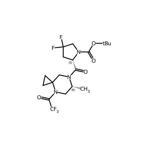 C[C@@H]1CN(C(=O)C(F)(F)F)C2(CC2)CN1C(=O)[C@@H]1CC(F)(F)CN1C(=O)OC(C)(C)C